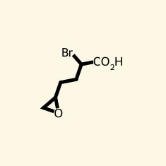 O=C(O)C(Br)CCC1CO1